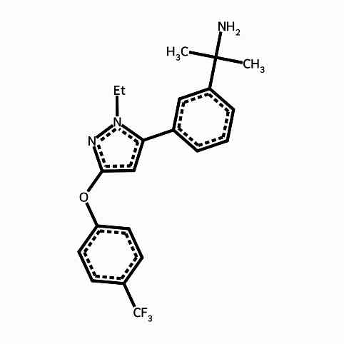 CCn1nc(Oc2ccc(C(F)(F)F)cc2)cc1-c1cccc(C(C)(C)N)c1